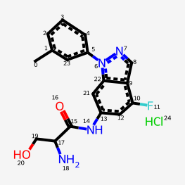 Cc1cccc(-n2ncc3c(F)cc(NC(=O)C(N)CO)cc32)c1.Cl